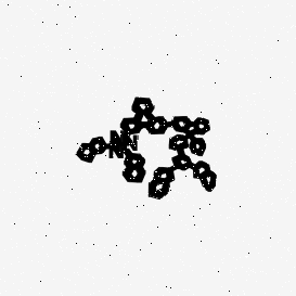 c1ccc(C2(c3cccc(-c4cc(-c5ccc6ccccc6c5)cc(-c5ccc6ccccc6c5)c4)c3)c3ccccc3-c3ccc(-c4ccc5c(c4)c4ccccc4c4ccc(-c6nc(-c7ccc8ccccc8c7)nc(-c7ccc8ccccc8c7)n6)cc45)cc32)cc1